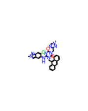 Cn1cnc(Cn2c(=O)nc(Nc3cc4cn(C)nc4cc3Cl)n(Cc3c4ccccc4cc4ccccc34)c2=O)n1